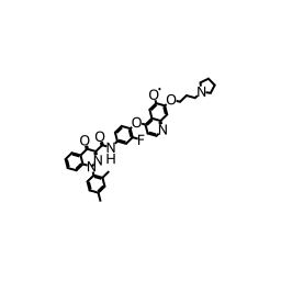 COc1cc2c(Oc3ccc(NC(=O)c4nn(-c5ccc(C)cc5C)c5ccccc5c4=O)cc3F)ccnc2cc1OCCCN1CCCC1